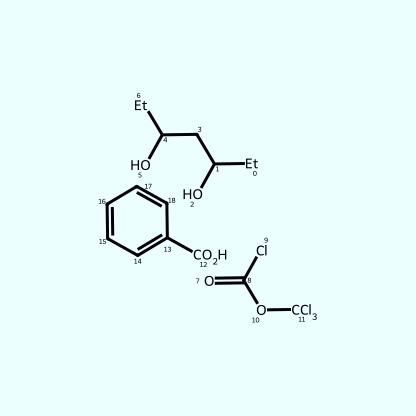 CCC(O)CC(O)CC.O=C(Cl)OC(Cl)(Cl)Cl.O=C(O)c1ccccc1